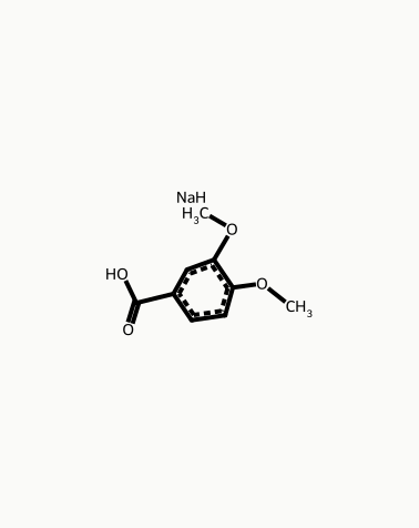 COc1ccc(C(=O)O)cc1OC.[NaH]